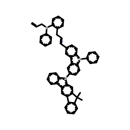 C=CCN(c1ccccc1)c1ccccc1C/C=C/c1ccc2c(c1)c1cc(-n3c4ccccc4c4cc5c(cc43)C(C)(C)c3ccccc3-5)ccc1n2-c1ccccc1